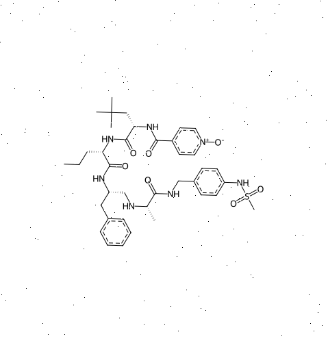 CCC[C@H](NC(=O)[C@H](CC(C)(C)C)NC(=O)c1cc[n+]([O-])cc1)C(=O)N[C@H](CN[C@@H](C)C(=O)NCc1ccc(NS(C)(=O)=O)cc1)Cc1ccccc1